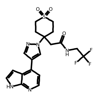 O=C(CC1(n2cc(-c3ccnc4[nH]ccc34)cn2)CCS(=O)(=O)CC1)NCC(F)(F)F